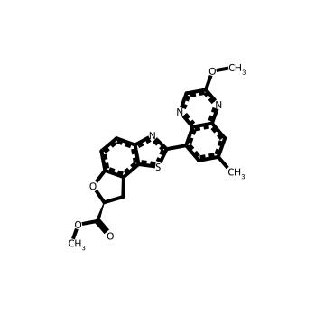 COC(=O)[C@@H]1Cc2c(ccc3nc(-c4cc(C)cc5nc(OC)cnc45)sc23)O1